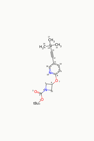 CC(C)(C)OC(=O)N1CC(Oc2ccc(C#C[Si](C)(C)C)cn2)C1